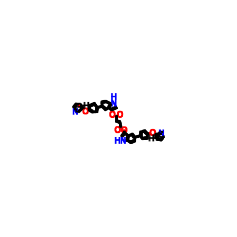 O=C(/C=C/C(=O)Oc1c[nH]c2ccc(-c3ccc(O[C@H]4CN5CCC4CC5)cc3)cc12)Oc1c[nH]c2ccc(-c3ccc(O[C@H]4CN5CCC4CC5)cc3)cc12